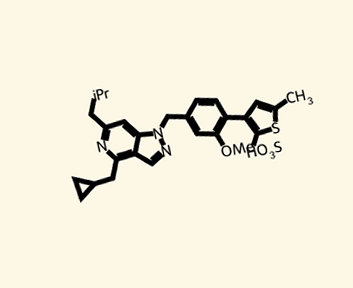 COc1cc(Cn2ncc3c(CC4CC4)nc(CC(C)C)cc32)ccc1-c1cc(C)sc1S(=O)(=O)O